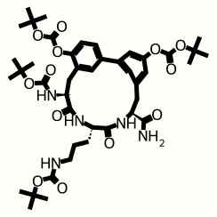 CC(C)(C)OC(=O)NCCC[C@@H]1NC(=O)[C@@H](NC(=O)OC(C)(C)C)Cc2cc(ccc2OC(=O)OC(C)(C)C)-c2cc(cc(OC(=O)OC(C)(C)C)c2)C[C@@H](C(N)=O)NC1=O